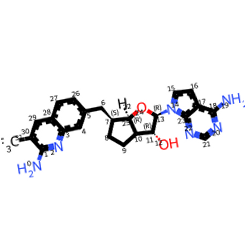 Nc1nc2cc(C[C@@H]3CCC4[C@@H](O)[C@H](n5ccc6c(N)ncnc65)O[C@@H]43)ccc2cc1C(F)(F)F